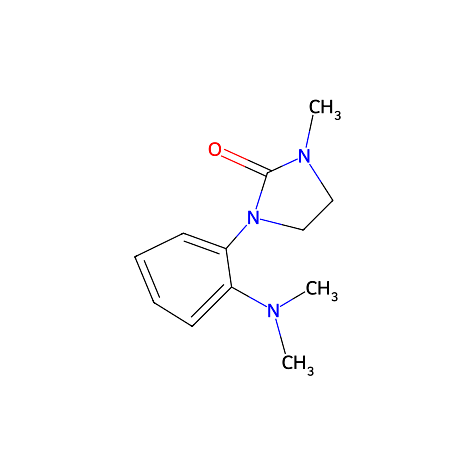 CN1CCN(c2ccccc2N(C)C)C1=O